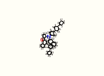 c1ccc(-c2ccc(-c3ccc(N(c4ccc5ccccc5c4)c4cccc5oc6c7ccccc7c(-c7cccc(-c8ccccc8)c7)cc6c45)cc3)cc2)cc1